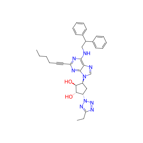 CCCCC#Cc1nc(NCC(c2ccccc2)c2ccccc2)c2ncn([C@H]3C[C@H](n4nnc(CC)n4)[C@H](O)[C@H]3O)c2n1